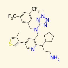 Cc1cscc1-c1cnc(C(CCN)C2CCCC2)c(CN(Cc2cc(C(F)(F)F)cc(C(F)(F)F)c2)c2nnn(C)n2)c1